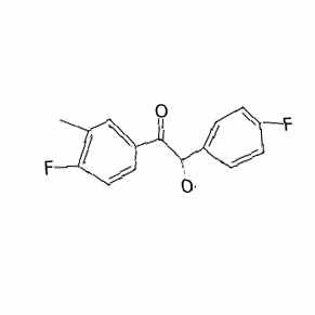 Cc1cc(C(=O)C([O])c2ccc(F)cc2)ccc1F